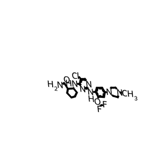 CN1CCN(c2ccc(Nc3ncc(Cl)c(N[C@@H]4CCCCC4C(N)=O)n3)c(OC(F)F)c2)CC1